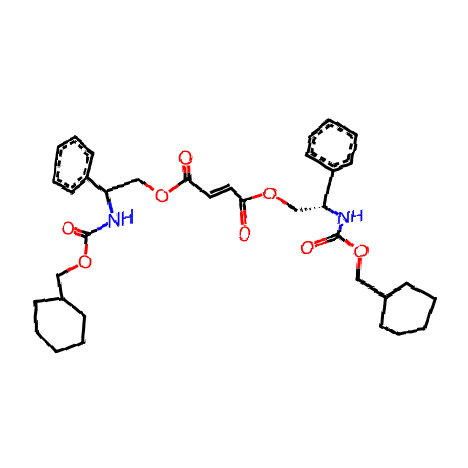 O=C(/C=C/C(=O)OC[C@@H](NC(=O)OCC1CCCCC1)c1ccccc1)OCC(NC(=O)OCC1CCCCC1)c1ccccc1